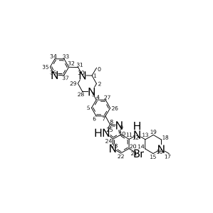 CC1CN(c2ccc(-c3nc4c(NC5CCN(C)CC5)c(Br)cnc4[nH]3)cc2)CCN1Cc1cccnc1